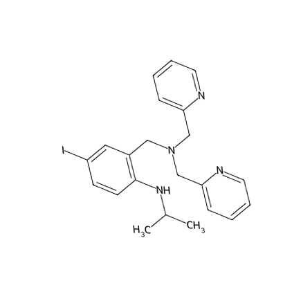 CC(C)Nc1ccc(I)cc1CN(Cc1ccccn1)Cc1ccccn1